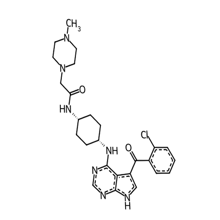 CN1CCN(CC(=O)N[C@H]2CC[C@@H](Nc3ncnc4[nH]cc(C(=O)c5ccccc5Cl)c34)CC2)CC1